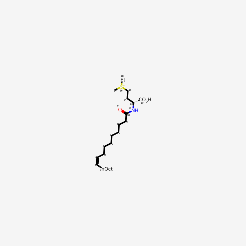 CCCCCCCC/C=C\CCCCCCCC(=O)N[C@H](CC[S+](C)CC)C(=O)O